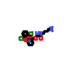 CN(C)CCCCNC(=O)COCC1CCCCN1S(=O)(=O)c1c(Cl)cccc1Cl